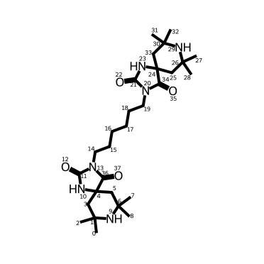 CC1(C)CC2(CC(C)(C)N1)NC(=O)N(CCCCCCN1C(=O)NC3(CC(C)(C)NC(C)(C)C3)C1=O)C2=O